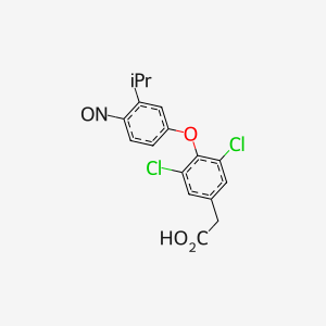 CC(C)c1cc(Oc2c(Cl)cc(CC(=O)O)cc2Cl)ccc1N=O